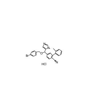 Cc1ccccc1-c1cc(C(OCc2ccc(Br)cc2)c2cncn2C)ccc1C#N.Cl